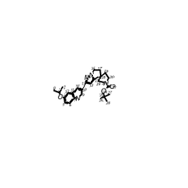 CC(C)Oc1ccc2ncc(-c3cc4n(n3)CCC43CCN(C(=O)OC(C)(C)C)C3)cc2c1